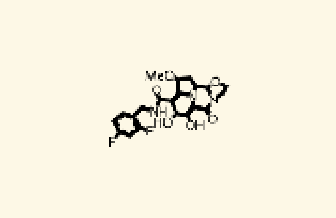 COC1CC2C3OCCN3C(=O)C3=C(O)C(O)C(C(=O)NCc4ccc(F)cc4F)=C1N32